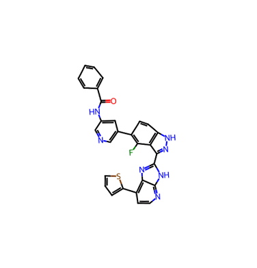 O=C(Nc1cncc(-c2ccc3[nH]nc(-c4nc5c(-c6cccs6)ccnc5[nH]4)c3c2F)c1)c1ccccc1